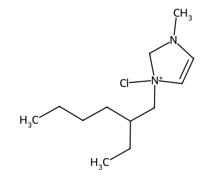 CCCCC(CC)C[N+]1(Cl)C=CN(C)C1